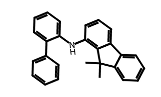 CC1(C)c2ccccc2-c2cccc(Nc3ccccc3-c3ccccc3)c21